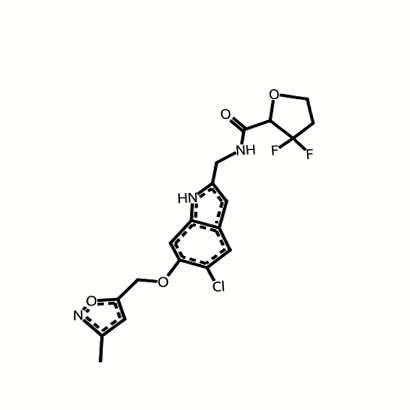 Cc1cc(COc2cc3[nH]c(CNC(=O)C4OCCC4(F)F)cc3cc2Cl)on1